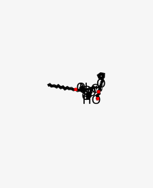 CCCCCCCCCCCCCCCc1cc(OC[C@H](COC[C@@H](CCCCCO)COCc2ccccc2)Oc2cc(C)on2)no1